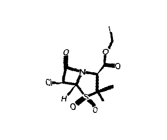 CC1(C)[C@H](C(=O)OCI)N2C(=O)[C@H](Cl)[C@H]2S1(=O)=O